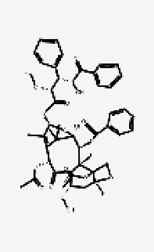 CC(=O)O[C@H]1C(=O)[C@]2(C)[C@@H](OO)C[C@H]3OC[C@@]3(OC(C)=O)[C@H]2[C@H](OC(=O)c2ccccc2)[C@]2(O)C[C@H](OC(=O)[C@H](OO)[C@H](c3ccccc3)N(O)C(=O)c3ccccc3)C(C)=C1C2(C)C